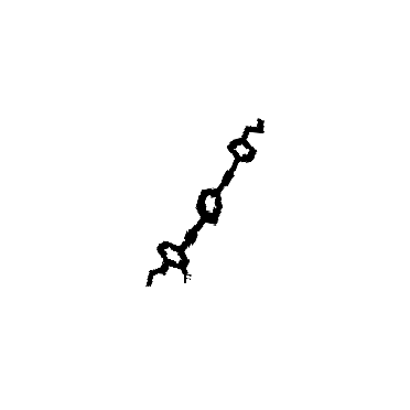 CCCc1ccc(C#Cc2ccc(C#Cc3ccc(CCC)c(F)c3)cc2)cc1